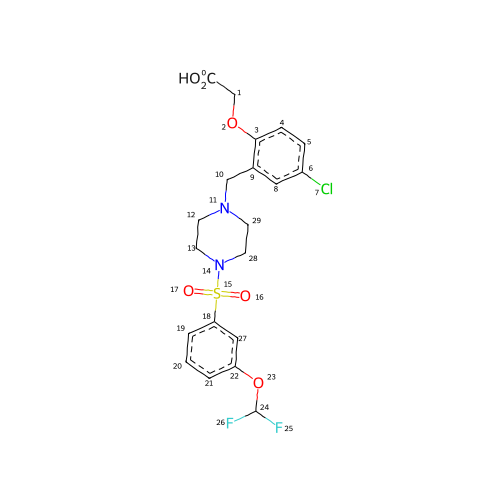 O=C(O)COc1ccc(Cl)cc1CN1CCN(S(=O)(=O)c2cccc(OC(F)F)c2)CC1